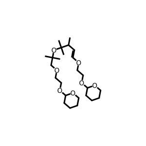 CC(/C=C/OCCOC1CCCCO1)C(C)(C)OC(C)(C)COCCOC1CCCCO1